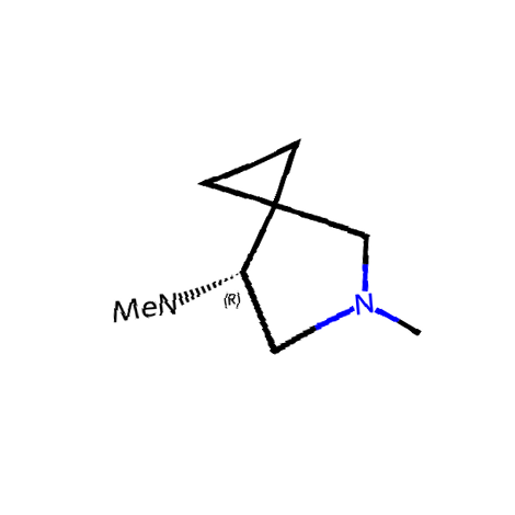 CN[C@H]1CN(C)CC12CC2